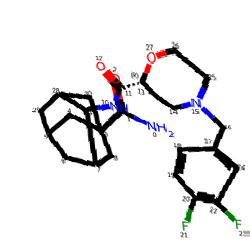 NC(=O)C12CC3CC(C1)C(NC(=O)[C@H]1CN(Cc4ccc(F)c(F)c4)CCO1)C(C3)C2